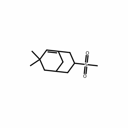 CC1(C)C=C2CC(CC(S(C)(=O)=O)C2)C1